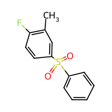 Cc1cc(S(=O)(=O)c2ccccc2)ccc1F